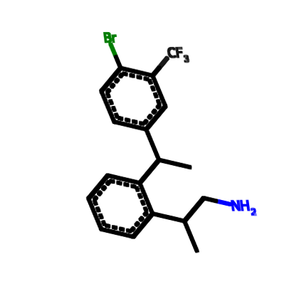 CC(CN)c1ccccc1C(C)c1ccc(Br)c(C(F)(F)F)c1